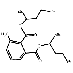 CCCCC(CCC(C)C)OC(=O)c1cccc(C)c1C(=O)OC(CCCC)CCC(C)C